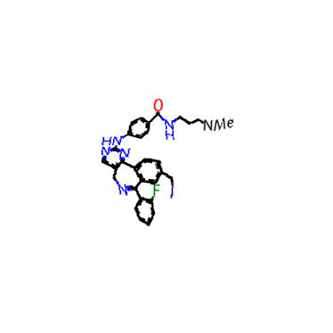 CNCCCNC(=O)c1ccc(Nc2ncc3c(n2)-c2ccc(CI)cc2C(c2ccccc2F)=NC3)cc1